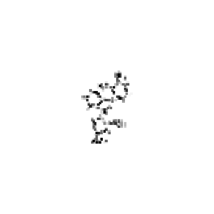 COc1ccc(-n2cc(-c3cccc(N)c3C)c3ccccc32)c(CO)c1